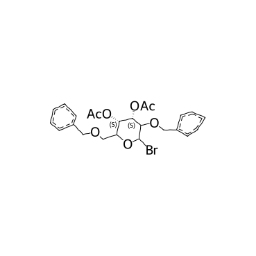 CC(=O)O[C@@H]1C(OCc2ccccc2)C(Br)OC(COCc2ccccc2)[C@@H]1OC(C)=O